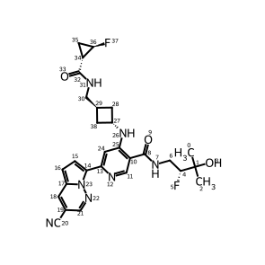 CC(C)(O)[C@H](F)CNC(=O)c1cnc(-c2ccc3cc(C#N)cnn23)cc1N[C@H]1C[C@H](CNC(=O)[C@@H]2C[C@H]2F)C1